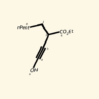 CCCCCCC(C#CO)C(=O)OCC